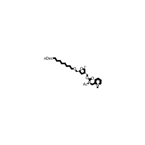 CCCCCCCCCCCCCCCCCCOC[C@@H]1C[C@@H](COC(=O)N(Cc2cccc[n+]2C)C(C)=O)CO1.[I-]